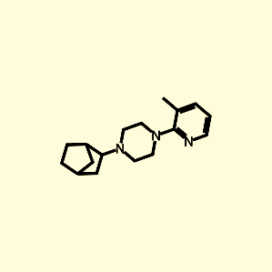 Cc1cccnc1N1CCN(C2CC3CCC2C3)CC1